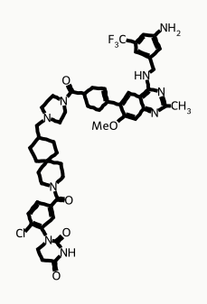 COc1cc2nc(C)nc(NCc3cc(N)cc(C(F)(F)F)c3)c2cc1C1=CCC(C(=O)N2CCN(CC3CCC4(CC3)CCN(C(=O)c3ccc(Cl)c(N5CCC(=O)NC5=O)c3)CC4)CC2)CC1